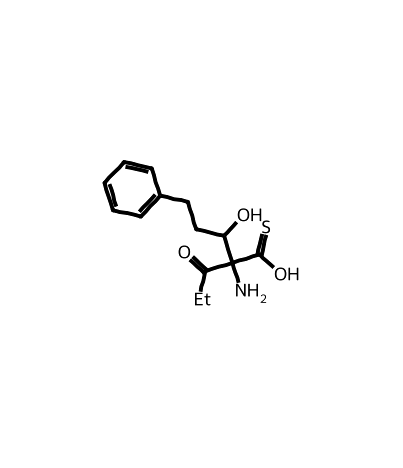 CCC(=O)C(N)(C(O)=S)C(O)CCc1ccccc1